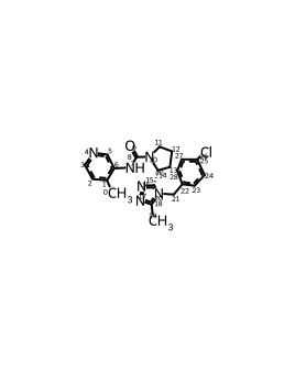 Cc1ccncc1NC(=O)N1CCC[C@@H]1c1nnc(C)n1Cc1ccc(Cl)cc1